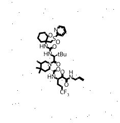 C=CCNC(=O)C(=O)C(CCC(F)(F)F)NC(=O)[C@@H]1CC(C)(C)C(C)CN1C(=O)[C@@H](NC(=O)NC1(CS(=O)(=O)c2ccccn2)CCCCC1)C(C)(C)C